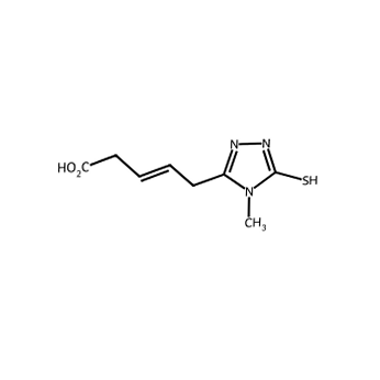 Cn1c(S)nnc1CC=CCC(=O)O